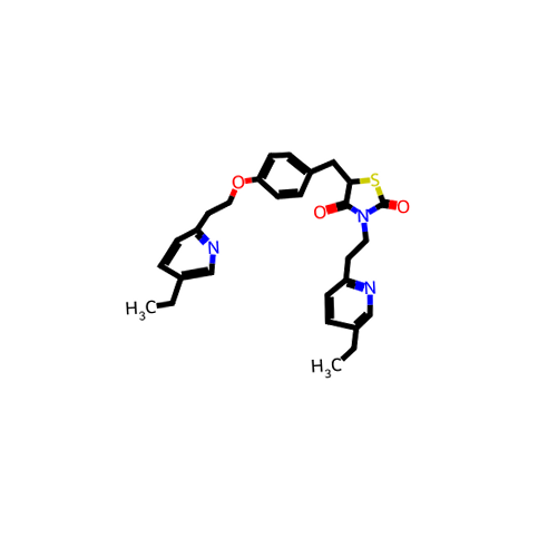 CCc1ccc(CCOc2ccc(CC3SC(=O)N(CCc4ccc(CC)cn4)C3=O)cc2)nc1